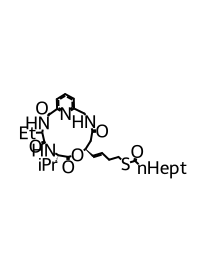 CCCCCCCC(=O)SCC/C=C/[C@@H]1CC(=O)NCc2cccc(n2)C(=O)NC(CC)C(=O)N[C@@H](C(C)C)C(=O)O1